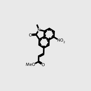 COC(=O)/C=C/c1cc2c3c(ccc([N+](=O)[O-])c3c1)N(C)C2=O